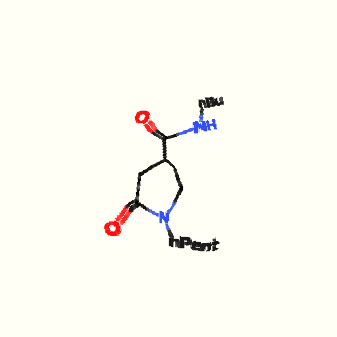 CCCCCN1CC(C(=O)NCCCC)CC1=O